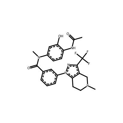 CC(=O)Nc1ccc(N(C)C(=O)c2cccc(-n3nc(C(F)(F)F)c4c3CCN(C)C4)c2)cc1O